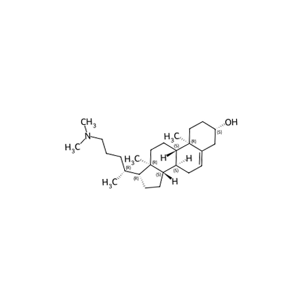 C[C@H](CCCN(C)C)[C@H]1CC[C@H]2[C@@H]3CC=C4C[C@@H](O)CC[C@]4(C)[C@H]3CC[C@]12C